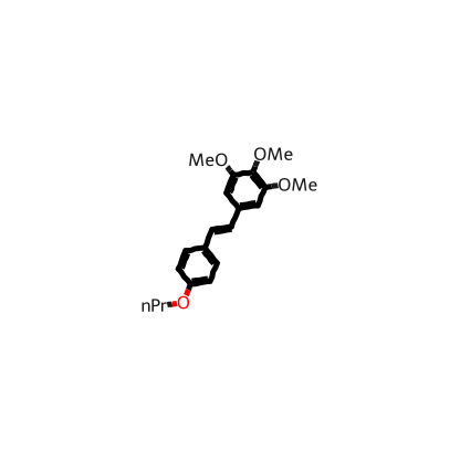 CCCOc1ccc(/C=C/c2cc(OC)c(OC)c(OC)c2)cc1